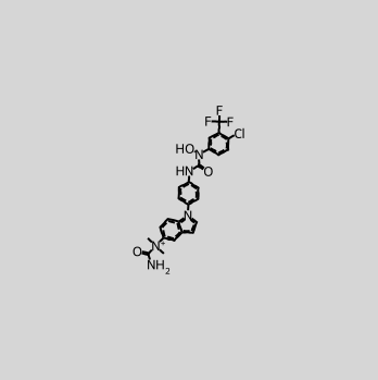 C[N+](C)(C(N)=O)c1ccc2c(ccn2-c2ccc(NC(=O)N(O)c3ccc(Cl)c(C(F)(F)F)c3)cc2)c1